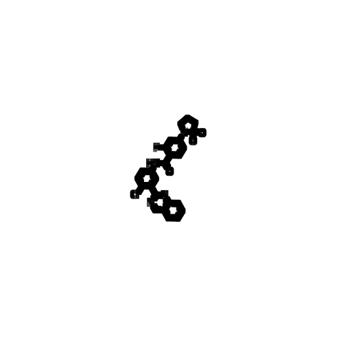 O=C(Nc1ccc(Cl)c(-c2ncc3ccccc3n2)c1)c1ccc(N2CCCS2(=O)=O)cc1F